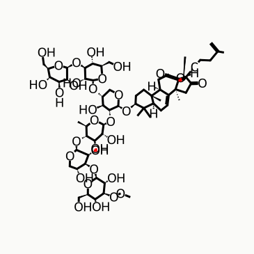 C=C(C)CCC[C@]1(C)OC(=O)[C@]23CC[C@H]4C(=CC[C@H]5C(C)(C)[C@@H](O[C@@H]6OC[C@@H](O[C@@H]7O[C@H](CO)[C@@H](O)[C@H](O[C@@H]8O[C@H](CO)[C@@H](O)[C@H](O)[C@H]8O)[C@H]7O)[C@H](O)[C@H]6O[C@@H]6O[C@H](C)[C@@H](O[C@@H]7OC[C@@H](O)[C@H](O[C@@H]8O[C@H](CO)[C@@H](O)[C@H](OOC)[C@H]8O)[C@H]7O)[C@H](O)[C@H]6O)CC[C@]45C)[C@]2(C)CC(=O)[C@@H]31